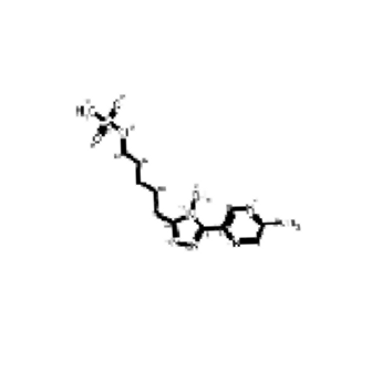 Cc1cnc(-c2nnc(CCCCCOS(C)(=O)=O)n2C)cn1